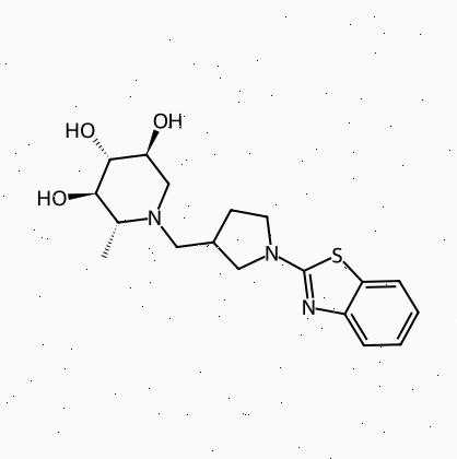 C[C@@H]1[C@@H](O)[C@H](O)[C@@H](O)CN1CC1CCN(c2nc3ccccc3s2)C1